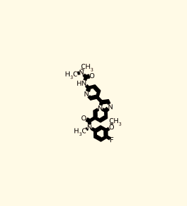 COc1cc(N(C)C(=O)c2ccc3ncc(-c4ccc(NC(=O)N(C)C)nc4)n3c2)ccc1F